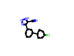 N#Cc1[nH]nnc1-c1cccc(-c2ccc(Cl)cc2)c1